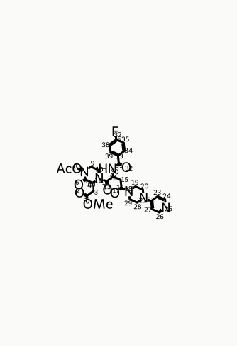 COC(=O)C[C@H]1C(=O)N(OC(C)=O)CCN1C(=O)C(CC(=O)N1CCN(c2ccncc2)CC1)NC(=O)c1ccc(F)cc1